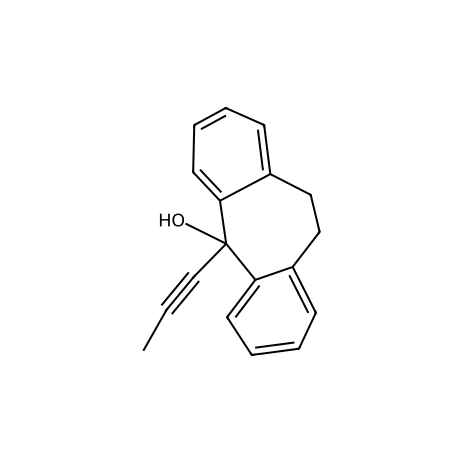 CC#CC1(O)c2ccccc2CCc2ccccc21